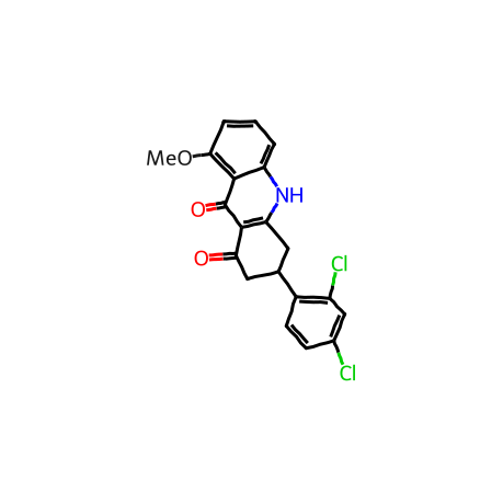 COc1cccc2[nH]c3c(c(=O)c12)C(=O)CC(c1ccc(Cl)cc1Cl)C3